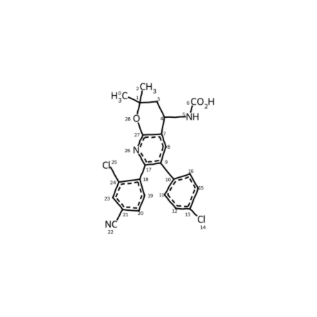 CC1(C)CC(NC(=O)O)c2cc(-c3ccc(Cl)cc3)c(-c3ccc(C#N)cc3Cl)nc2O1